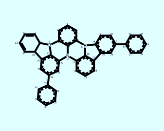 C1=CC2B3c4cccc5c4N(c4cccc6c4B5c4ccc(-c5ccccc5)cc4-6)c4cc(-c5ccccc5)cc(c43)C2C=C1